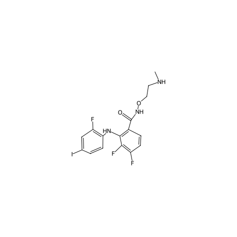 CNCCONC(=O)c1ccc(F)c(F)c1Nc1ccc(I)cc1F